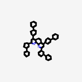 c1ccc(-c2ccc(-c3cc(-c4cccc(-c5ccccc5)c4)nc4c3ccc3c(-c5ccc(-c6ccccc6)cc5)cc(-c5cccc(-c6ccccc6)c5)nc34)cc2)cc1